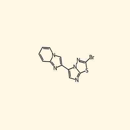 Brc1nn2c(-c3cn4ccccc4n3)cnc2s1